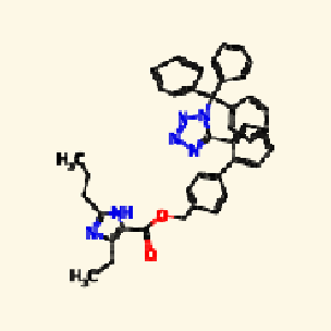 CCCc1nc(CC)c(C(=O)OCc2ccc(-c3ccccc3-c3nnnn3C(c3ccccc3)(c3ccccc3)c3ccccc3)cc2)[nH]1